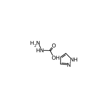 NNC(=O)O.c1cn[nH]c1